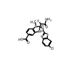 CN1c2ccc(C(=O)O)cc2NC1(Nc1nc2ccc(Cl)cc2s1)C(F)C(N)=O